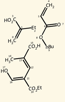 C=C(CC)C(=O)O.C=CC(=O)OCCCC.CCOC(=O)C(C=C(C)C(=O)O)=CO